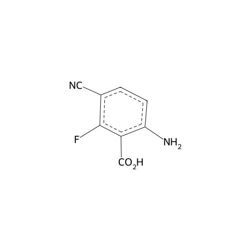 N#Cc1ccc(N)c(C(=O)O)c1F